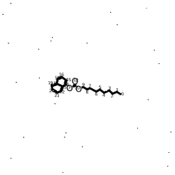 CCCCCCCCCCOC(=O)Oc1cccc2ccccc12